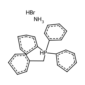 Br.N.c1ccc(C[PH](c2ccccc2)(c2ccccc2)c2ccccc2)cc1